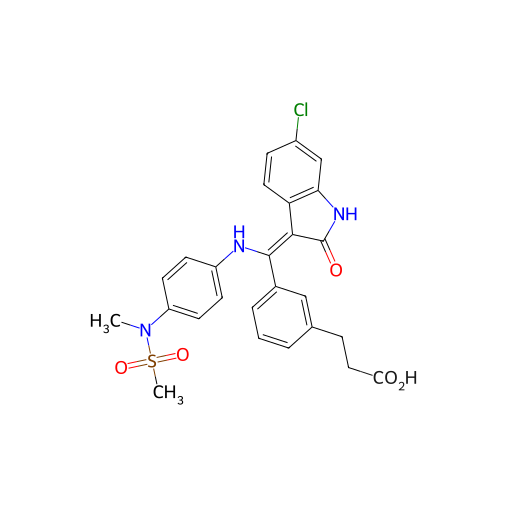 CN(c1ccc(NC(=C2C(=O)Nc3cc(Cl)ccc32)c2cccc(CCC(=O)O)c2)cc1)S(C)(=O)=O